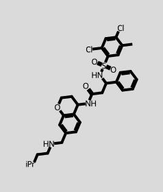 Cc1cc(S(=O)(=O)NC(CC(=O)NC2CCOc3cc(CNCCC(C)C)ccc32)c2ccccc2)c(Cl)cc1Cl